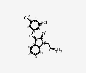 C=CCN1C(=O)C(=Nc2cc(Cl)cc(Cl)c2)c2ccccc21